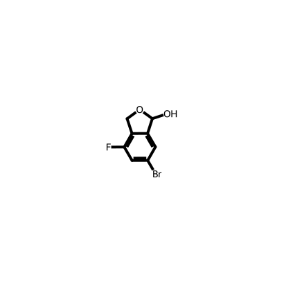 OC1OCc2c(F)cc(Br)cc21